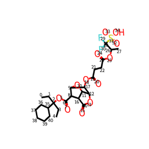 CCC(CC)(OC(=O)C1C2OC3C(OC(=O)C31)C2OC(=O)CCC(=O)OC(C)C(F)(F)S(=O)(=O)O)C1CCCCC1